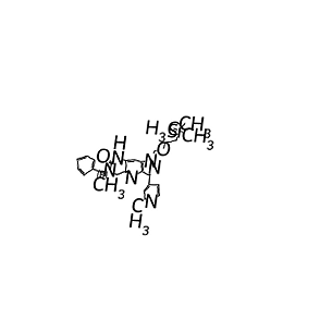 Cc1cc(-c2nn(COCC[Si](C)(C)C)c3cc4c(nc23)CN([C@H](C)c2ccccc2)C(=O)N4)ccn1